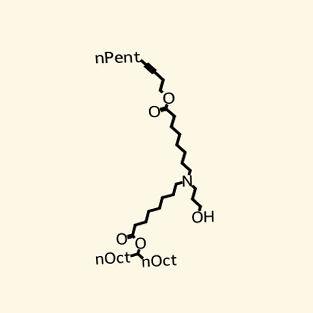 CCCCCC#CCCOC(=O)CCCCCCCN(CCCO)CCCCCCCC(=O)OC(CCCCCCCC)CCCCCCCC